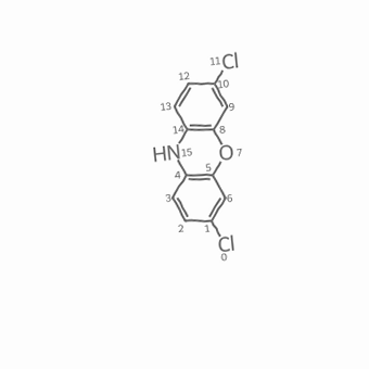 Clc1ccc2c(c1)Oc1cc(Cl)ccc1N2